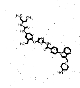 CCC(CC)NC(=O)Nc1ccc(Oc2cnc(NC(=O)c3ccc(-n4cc(CN5CCC(O)CC5)c5ccccc54)cc3)s2)c(CO)c1